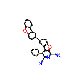 N#Cc1nc(C#N)c2oc3ccc(-c4ccc5oc6ccccc6c5c4)cc3c2c1-c1ccccc1